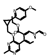 C/C=C(\C(=C/N(C)C=O)C(=O)OCC)c1cnc(C)nc1OCC1CC1c1ccc(OC)cn1